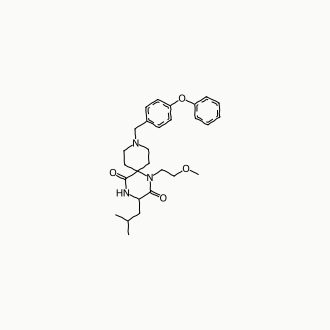 COCCN1C(=O)C(CC(C)C)NC(=O)C12CCN(Cc1ccc(Oc3ccccc3)cc1)CC2